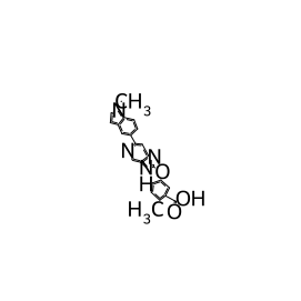 Cc1ccc(Oc2nc3cc(-c4ccc5c(ccn5C)c4)ncc3[nH]2)cc1C(=O)O